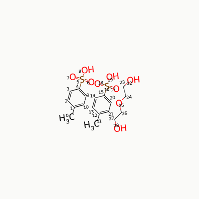 Cc1ccc(S(=O)(=O)O)cc1.Cc1ccc(S(=O)(=O)O)cc1.OCCOCCO